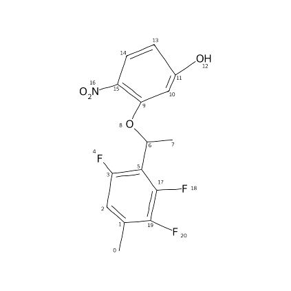 Cc1cc(F)c(C(C)Oc2cc(O)ccc2[N+](=O)[O-])c(F)c1F